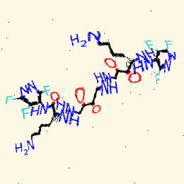 NCCCC[C@H](NNCC(=O)C(=O)CNNCC(=O)C(=O)[C@H](CCCCN)NNc1c(F)nnc(F)c1F)C(=O)Nc1c(F)nnc(F)c1F